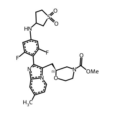 COC(=O)N1CCO[C@@H](Cc2c(-c3c(F)cc(NC4CCS(=O)(=O)C4)cc3F)nc3cc(C)ccn23)C1